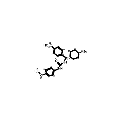 CC(C)(C)[C@H]1CC[C@H](C(NC(=O)Nc2ccc(OC(F)(F)F)cc2)c2ccc(C(=O)O)cc2)CC1